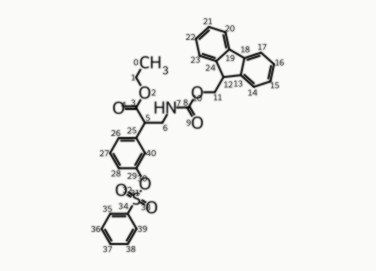 CCOC(=O)C(CNC(=O)OCC1c2ccccc2-c2ccccc21)c1cccc(OS(=O)(=O)c2ccccc2)c1